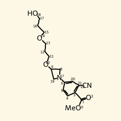 COC(=O)c1ccc(N2CC(OCCCOCCCO)C2)cc1C#N